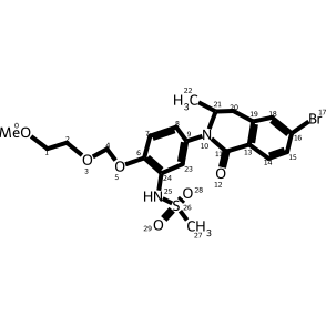 COCCOCOc1ccc(N2C(=O)c3ccc(Br)cc3CC2C)cc1NS(C)(=O)=O